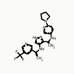 C=C(Nc1c[nH]nc1C(=C)Nc1ccc(N2CCCC2)nc1)c1cncc(C(F)(F)F)c1